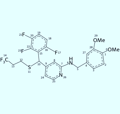 COc1ccc(CNc2cc(C(SCCC(F)(F)F)c3c(F)ccc(F)c3F)ccn2)cc1OC